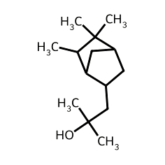 CC1C2CC(CC2CC(C)(C)O)C1(C)C